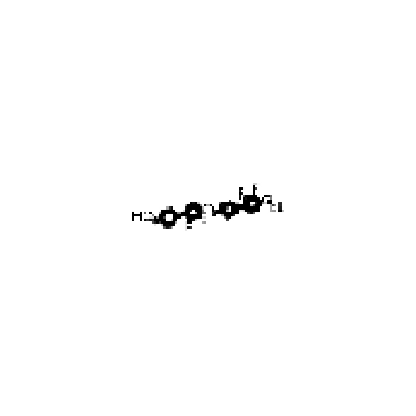 CCOc1ccc(-c2ccc(COc3ccc(C4CCC(CO)CC4)c(F)c3F)cc2)c(F)c1F